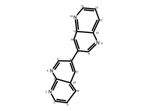 c1cnc2ncc(-c3cnc4cccnc4c3)cc2c1